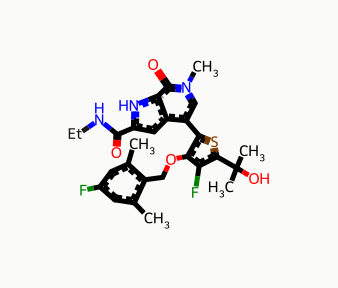 CCNC(=O)c1cc2c(-c3sc(C(C)(C)O)c(F)c3OCc3c(C)cc(F)cc3C)cn(C)c(=O)c2[nH]1